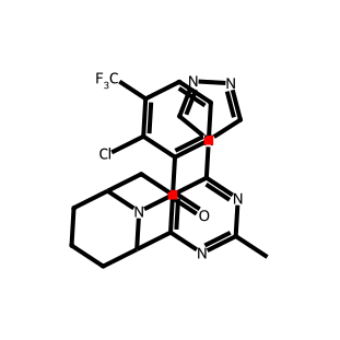 Cc1nc2c(c(-n3cnnc3)n1)CC1CCCC2N1C(=O)c1cccc(C(F)(F)F)c1Cl